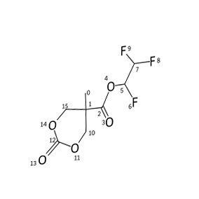 CC1(C(=O)OC(F)C(F)F)COC(=O)OC1